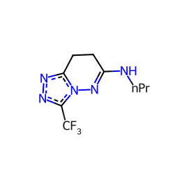 CCCNC1=Nn2c(nnc2C(F)(F)F)CC1